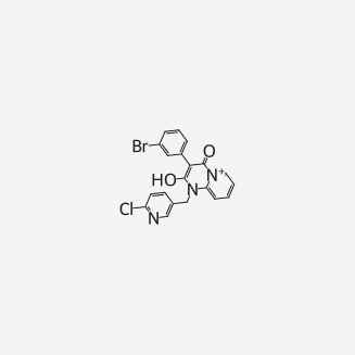 O=c1c(-c2cccc(Br)c2)c(O)n(Cc2ccc(Cl)nc2)c2cccc[n+]12